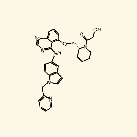 O=C(CO)N1CCCC[C@@H]1COc1cccc2ncnc(Nc3ccc4c(ccn4Cc4ccccn4)c3)c12